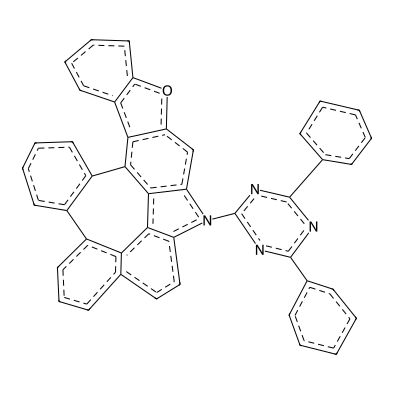 c1ccc(-c2nc(-c3ccccc3)nc(-n3c4cc5oc6ccccc6c5c5c4c4c6c(cccc6ccc43)-c3ccccc3-5)n2)cc1